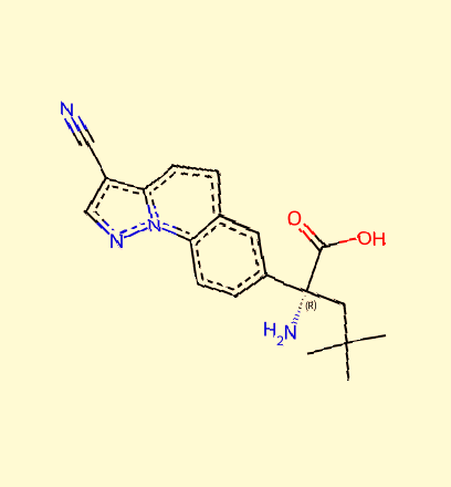 CC(C)(C)C[C@](N)(C(=O)O)c1ccc2c(ccc3c(C#N)cnn32)c1